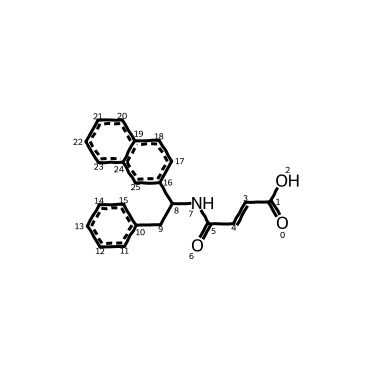 O=C(O)/C=C/C(=O)NC(Cc1ccccc1)c1ccc2ccccc2c1